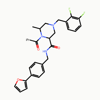 CC(C)C(=O)N1C(C)CN(Cc2cccc(F)c2F)CC1C(=O)NCc1ccc(-c2ccco2)cc1